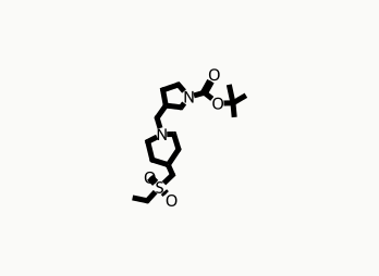 CCS(=O)(=O)CC1CCN(CC2CCN(C(=O)OC(C)(C)C)C2)CC1